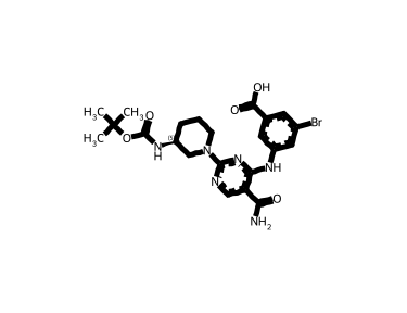 CC(C)(C)OC(=O)N[C@H]1CCCN(c2ncc(C(N)=O)c(Nc3cc(Br)cc(C(=O)O)c3)n2)C1